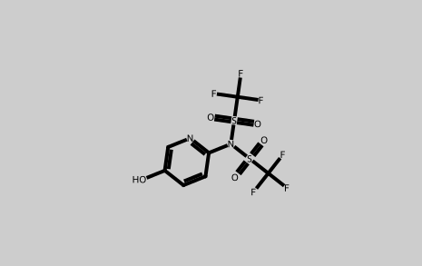 O=S(=O)(N(c1ccc(O)cn1)S(=O)(=O)C(F)(F)F)C(F)(F)F